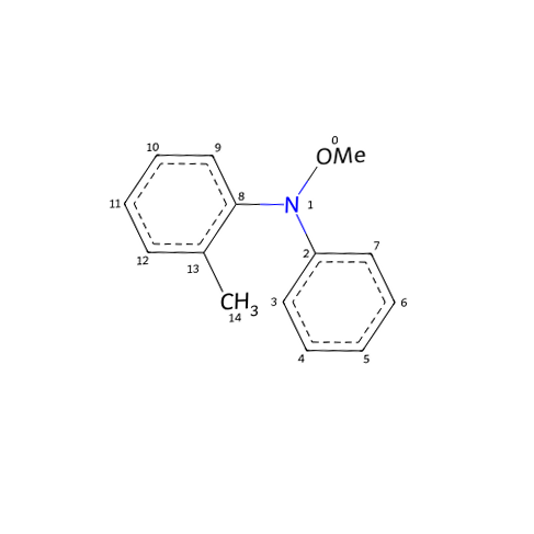 CON(c1ccccc1)c1ccccc1C